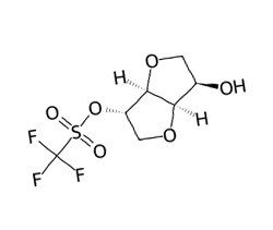 O=S(=O)(O[C@H]1CO[C@H]2[C@@H]1OC[C@H]2O)C(F)(F)F